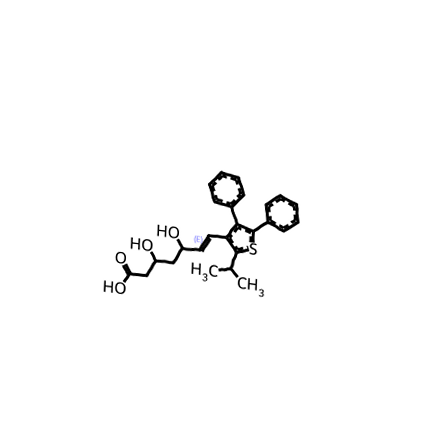 CC(C)c1sc(-c2ccccc2)c(-c2ccccc2)c1/C=C/C(O)CC(O)CC(=O)O